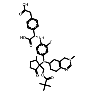 CC1CCC(=O)C1(COC(=O)C(C)(C)C)N(c1ccc(N[C@H](C(=O)O)c2ccc(CC(=O)O)cc2)c(F)c1)C1CCC2=C(C1)CN(C)C=N2